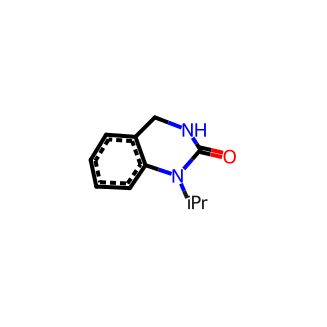 CC(C)N1C(=O)NCc2ccccc21